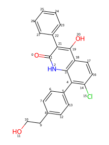 O=c1[nH]c2c(-c3ccc(CCO)cc3)c(Cl)ccc2c(O)c1-c1ccccc1